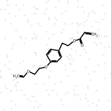 C=COCCOc1ccc(CCOC(=O)C=C)cc1